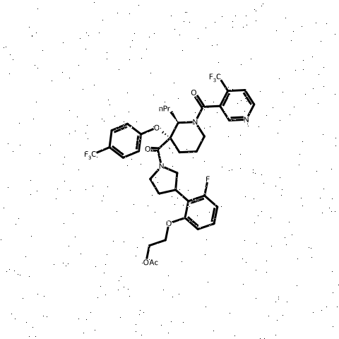 CCC[C@H]1N(C(=O)c2cnccc2C(F)(F)F)CCC[C@@]1(Oc1ccc(C(F)(F)F)cc1)C(=O)N1CCC(c2c(F)cccc2OCCOC(C)=O)C1